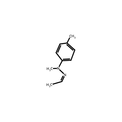 C/C=N\N(C)c1ccc(C)cc1